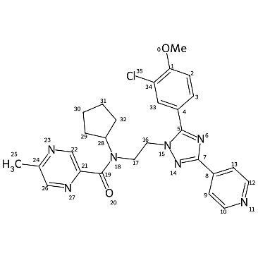 COc1ccc(-c2nc(-c3ccncc3)nn2CCN(C(=O)c2cnc(C)cn2)C2CCCC2)cc1Cl